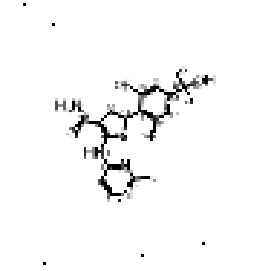 Cc1nccc(NC2=C(C(N)=O)CC(c3c(F)cc(C(C)(C)O)cc3F)S2)n1